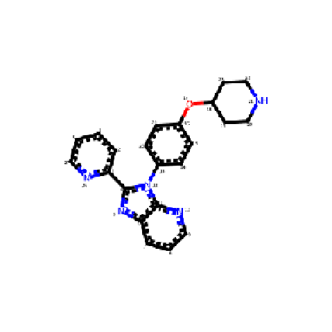 c1ccc(-c2nc3cccnc3n2-c2ccc(OC3CCNCC3)cc2)nc1